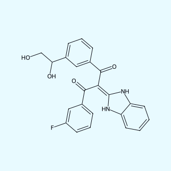 O=C(C(C(=O)c1cccc(C(O)CO)c1)=C1Nc2ccccc2N1)c1cccc(F)c1